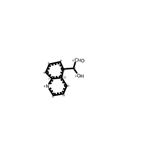 O=[C]C(O)c1cccc2ncccc12